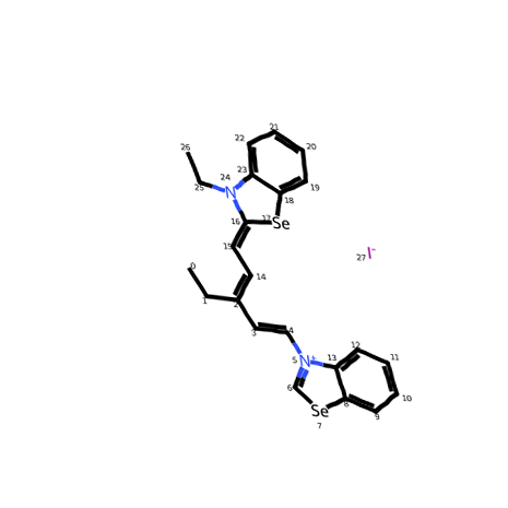 CCC(C=C[n+]1c[se]c2ccccc21)=CC=C1[Se]c2ccccc2N1CC.[I-]